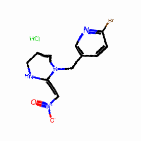 Cl.O=[N+]([O-])C=C1NCCCN1Cc1ccc(Br)nc1